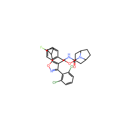 O=C(NCc1ccc(F)cc1)N1C2CCC1CC(OCc1c(-c3c(Cl)cccc3Cl)noc1C1CC1)C2